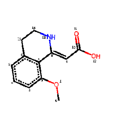 COc1cccc2c1C(=CC(=O)O)NCC2